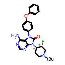 CC(C)(C)N1CC[C@@H](n2c(=O)n(-c3ccc(Oc4ccccc4)cc3)c3c(N)ncnc32)[C@@H](F)C1